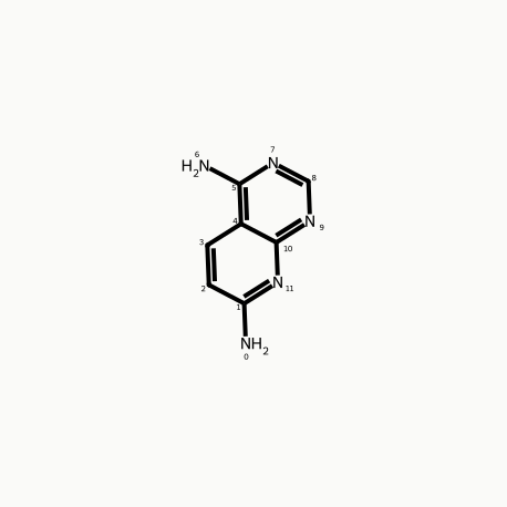 Nc1ccc2c(N)ncnc2n1